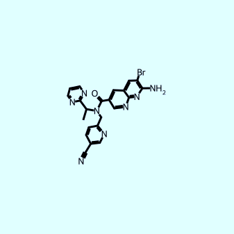 CC(c1ncccn1)N(Cc1ccc(C#N)cn1)C(=O)c1cnc2nc(N)c(Br)cc2c1